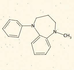 CN1CCCN(c2ccccc2)c2ccccc21